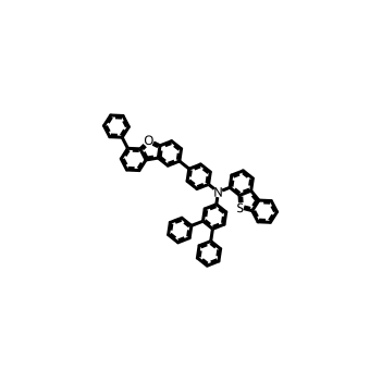 c1ccc(-c2ccc(N(c3ccc(-c4ccc5oc6c(-c7ccccc7)cccc6c5c4)cc3)c3cccc4c3sc3ccccc34)cc2-c2ccccc2)cc1